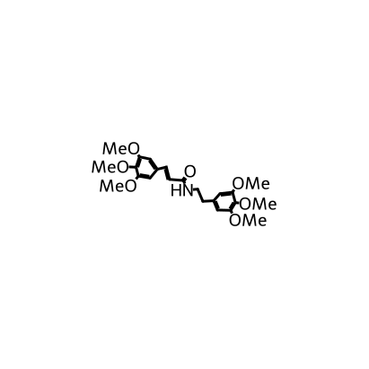 COc1cc(/C=C/C(=O)NCCc2cc(OC)c(OC)c(OC)c2)cc(OC)c1OC